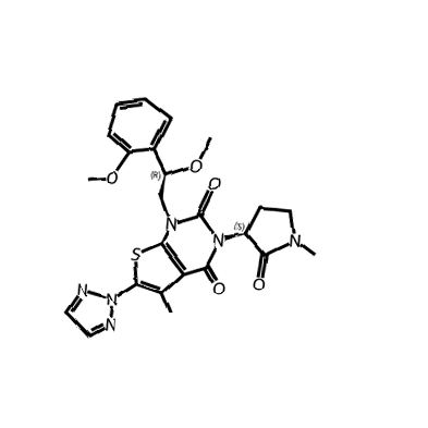 COc1ccccc1[C@H](Cn1c(=O)n([C@H]2CCN(C)C2=O)c(=O)c2c(C)c(-n3nccn3)sc21)OC